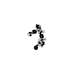 Cc1cnc(CN2C(=O)C(c3ccc(NC(=O)[C@@H]4CCC(=O)N4C(=O)OCc4ccccc4)cc3)S/C2=N\c2ccc(N3CCOCC3)cc2)cn1